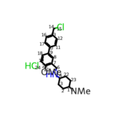 CNC1CCC(NCc2cc(-c3ccc(CCl)cc3)ccc2OC)CC1.Cl